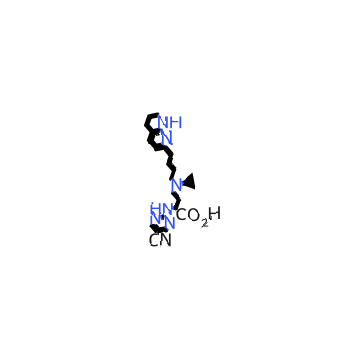 N#Cc1cnc(N[C@@H](CCN(CCCCc2ccc3c(n2)NCCC3)C2CC2)C(=O)O)nc1